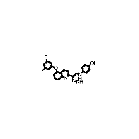 N=N/C(=C\Nc1ccc(O)cc1)c1ccc2c(Oc3cc(F)cc(I)c3)cccc2n1